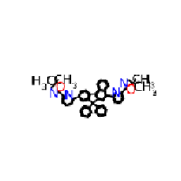 CC1(C)CN=C(c2cccc(-c3ccc4c(c3)C(c3ccccc3)(c3ccccc3)c3cc(-c5cccc(C6=NCC(C)(C)O6)n5)c5ccccc5c3-4)n2)O1